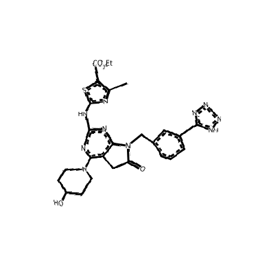 CCOC(=O)c1sc(Nc2nc(N3CCC(O)CC3)c3c(n2)N(Cc2cccc(-c4nnn[nH]4)c2)C(=O)C3)nc1C